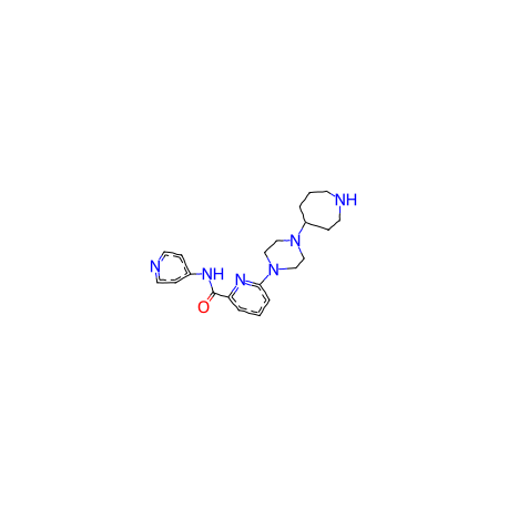 O=C(Nc1ccncc1)c1cccc(N2CCN(C3CCCNCC3)CC2)n1